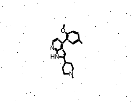 COc1ccc(C)cc1-c1ccnc2[nH]c(C3CCN(C)CC3)cc12